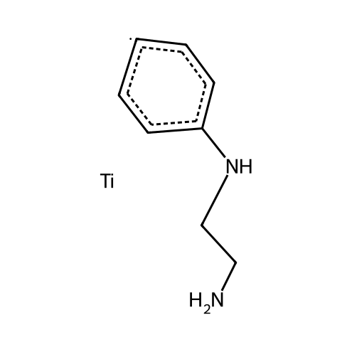 NCCNc1cc[c]cc1.[Ti]